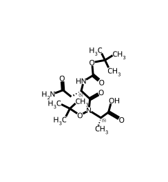 C[C@@H](C(=O)O)N(OC(C)(C)C)C(=O)[C@H](CC(N)=O)NC(=O)OC(C)(C)C